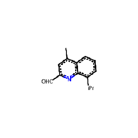 Cc1cc(C=O)nc2c(C(C)C)cccc12